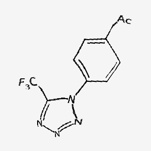 CC(=O)c1ccc(-n2nnnc2C(F)(F)F)cc1